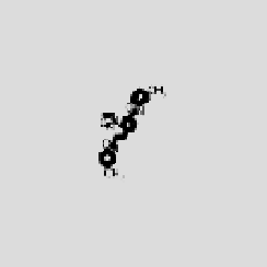 Cc1ccc2oc(C=Cc3ccc(-c4nc5cc(C)ccc5o4)cc3)nc2c1.c1conn1